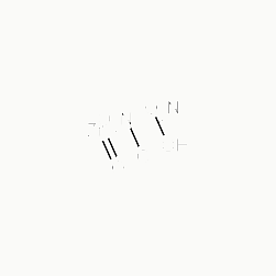 O=[N+]([O-])O.O=[N+]([O-])[O-].[O]=[Zr]